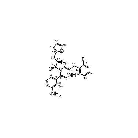 Nc1cccc(-c2c[nH]c(Cc3ccccc3F)c3nc(Cc4ccco4)c(=O)n2-3)c1F